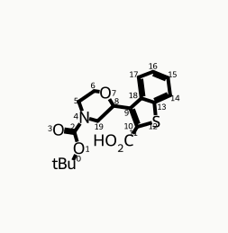 CC(C)(C)OC(=O)N1CCOC(c2c(C(=O)O)sc3ccccc23)C1